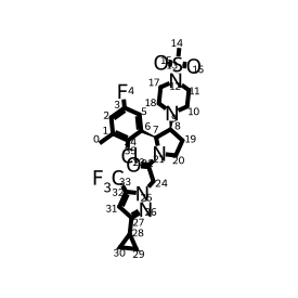 Cc1cc(F)cc([C@H]2[C@@H](N3CCN(S(C)(=O)=O)CC3)CCN2C(=O)Cn2nc(C3CC3)cc2C(F)(F)F)c1Cl